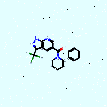 O=C(c1cnc2[nH]nc(C(F)(F)F)c2c1)N1CCCC[C@H]1c1ccccc1